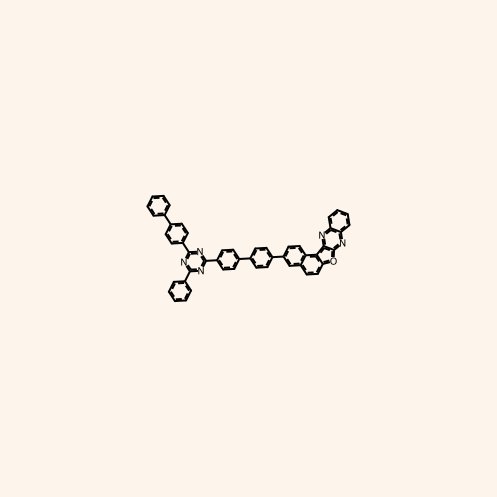 c1ccc(-c2ccc(-c3nc(-c4ccccc4)nc(-c4ccc(-c5ccc(-c6ccc7c(ccc8oc9nc%10ccccc%10nc9c87)c6)cc5)cc4)n3)cc2)cc1